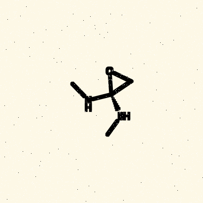 CB[C@@]1(NC)CO1